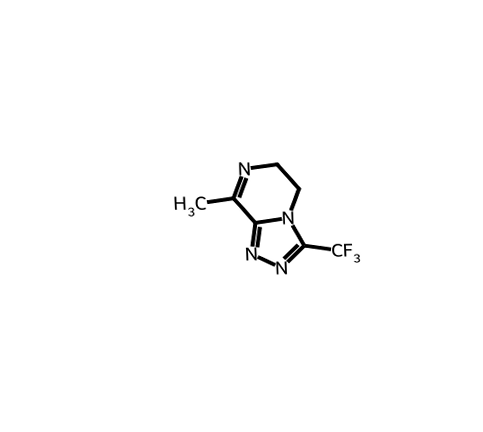 CC1=NCCn2c1nnc2C(F)(F)F